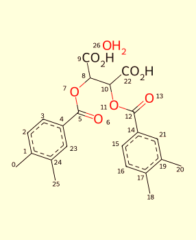 Cc1ccc(C(=O)OC(C(=O)O)C(OC(=O)c2ccc(C)c(C)c2)C(=O)O)cc1C.O